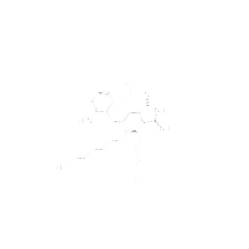 CCCCCCSc1c(OCCOC)c2c(c(OCCOC)c1Sc1ccccc1N)C(=N)NC2=N